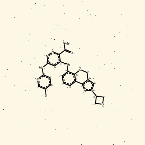 CNC(=O)c1nnc(Nc2ccc(F)cn2)cc1Nc1cccc2c1OCc1cn(C3COC3)nc1-2